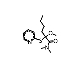 CCCCC(OC)(Sc1ccccn1)C(=O)N(C)C